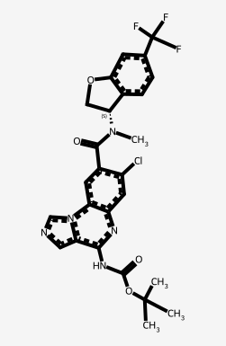 CN(C(=O)c1cc2c(cc1Cl)nc(NC(=O)OC(C)(C)C)c1cncn12)[C@@H]1COc2cc(C(F)(F)F)ccc21